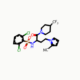 N#Cc1cccn1CCC(NS(=O)(=O)c1c(Cl)cccc1Cl)C(=O)N1CCC(C(F)(F)F)CC1